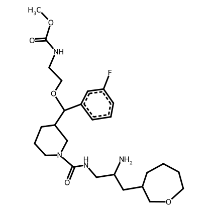 COC(=O)NCCOC(c1cccc(F)c1)C1CCCN(C(=O)NCC(N)CC2CCCCOC2)C1